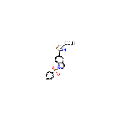 O=C(O)[C@@H]1CSC(c2ccc3c(ccn3S(=O)(=O)c3ccccc3)c2)=N1